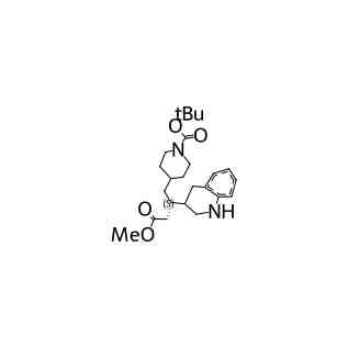 COC(=O)C[C@H](CC1CCN(C(=O)OC(C)(C)C)CC1)C1CNc2ccccc2C1